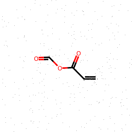 [CH]=[C]C(=O)O[C]=O